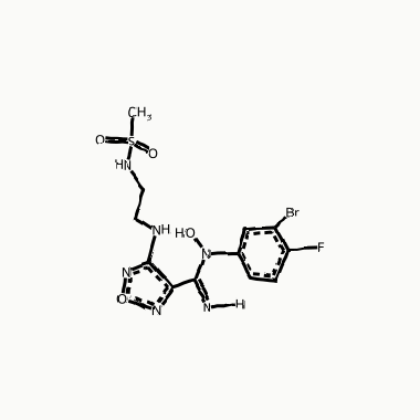 [H]/N=C(/c1nonc1NCCNS(C)(=O)=O)N(O)c1ccc(F)c(Br)c1